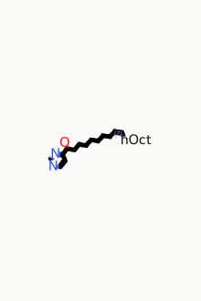 CCCCCCCC/C=C\CCCCCCCC(=O)c1ccncn1